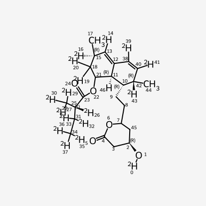 [2H]O[C@H]1CC(=O)OC(CC[C@@H]2[C@@H]3C(=C([2H])[C@]([2H])(C)C([2H])([2H])C3OC(=O)[C@@]([2H])(C([2H])([2H])[2H])C([2H])([2H])C([2H])([2H])[2H])C([2H])=C([2H])[C@]2([2H])C)C1